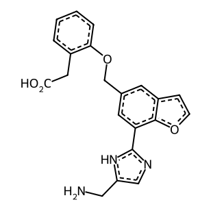 NCc1cnc(-c2cc(COc3ccccc3CC(=O)O)cc3ccoc23)[nH]1